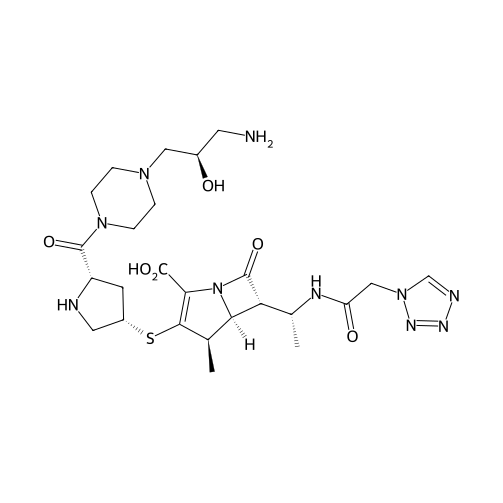 C[C@@H](NC(=O)Cn1cnnn1)[C@H]1C(=O)N2C(C(=O)O)=C(S[C@@H]3CN[C@H](C(=O)N4CCN(C[C@H](O)CN)CC4)C3)[C@H](C)[C@H]12